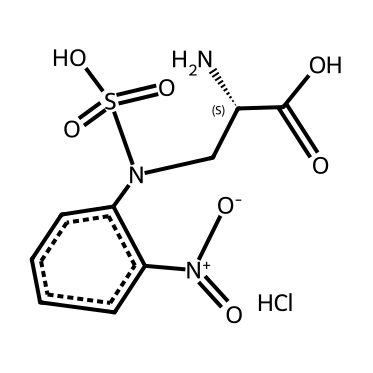 Cl.N[C@@H](CN(c1ccccc1[N+](=O)[O-])S(=O)(=O)O)C(=O)O